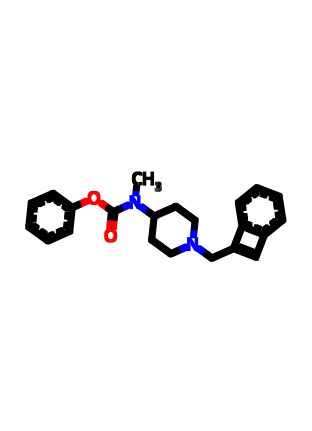 CN(C(=O)Oc1ccccc1)C1CCN(CC2=Cc3ccccc32)CC1